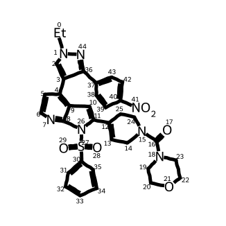 CCn1cc(-c2ccnc3c2cc(C2=CCN(C(=O)N4CCOCC4)CC2)n3S(=O)(=O)c2ccccc2)c(-c2ccc([N+](=O)[O-])cc2)n1